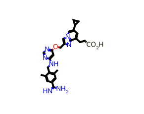 Cc1cc(C(=N)N)cc(C)c1CNc1cc(OCc2cn3cc(C4CC4)cc(CCC(=O)O)c3n2)ncn1